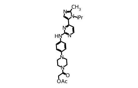 CC(=O)OCC(=O)N1CCN(c2ccc(Nc3nccc(-c4cnc(C)n4C(C)C)n3)cc2)CC1